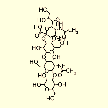 CC(=O)N[C@H]1[C@H](O[C@@H]2[C@@H](O)[C@H](O)O[C@H](CO)[C@@H]2O)O[C@H](CO)[C@@H](O[C@@H]2O[C@H](CO)[C@H](O)[C@H](O[C@]3(C(=O)O)C[C@H](O)[C@@H](NC(C)=O)[C@H]([C@H](O)[C@H](O)CO)O3)[C@H]2O)[C@@H]1O